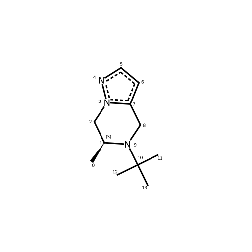 C[C@H]1Cn2nccc2CN1C(C)(C)C